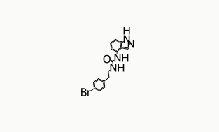 O=C(NCCc1ccc(Br)cc1)Nc1cccc2[nH]ncc12